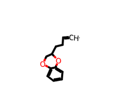 [CH]=CCCC1COc2ccccc2O1